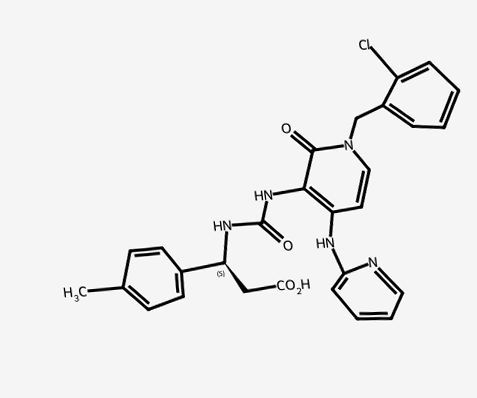 Cc1ccc([C@H](CC(=O)O)NC(=O)Nc2c(Nc3ccccn3)ccn(Cc3ccccc3Cl)c2=O)cc1